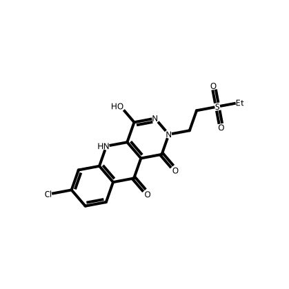 CCS(=O)(=O)CCn1nc(O)c2[nH]c3cc(Cl)ccc3c(=O)c2c1=O